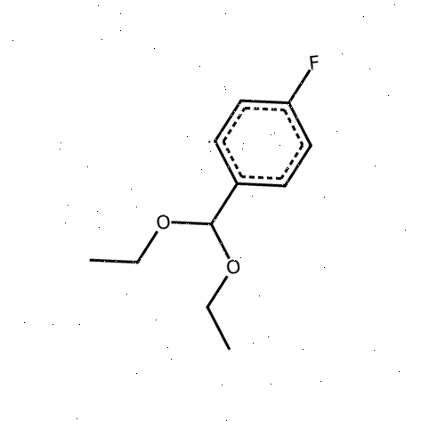 CCOC(OCC)c1[c]cc(F)cc1